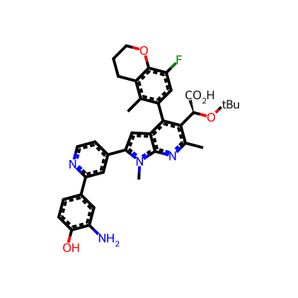 Cc1nc2c(cc(-c3ccnc(-c4ccc(O)c(N)c4)c3)n2C)c(-c2cc(F)c3c(c2C)CCCO3)c1[C@H](OC(C)(C)C)C(=O)O